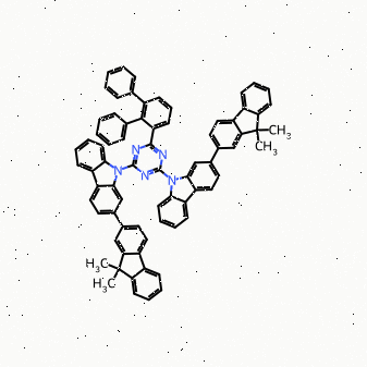 CC1(C)c2ccccc2-c2ccc(-c3ccc4c5ccccc5n(-c5nc(-c6cccc(-c7ccccc7)c6-c6ccccc6)nc(-n6c7ccccc7c7ccc(-c8ccc9c(c8)C(C)(C)c8ccccc8-9)cc76)n5)c4c3)cc21